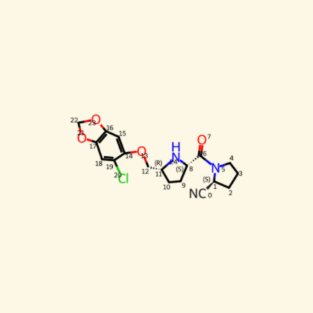 N#C[C@@H]1CCCN1C(=O)[C@@H]1CC[C@H](COc2cc3c(cc2Cl)OCO3)N1